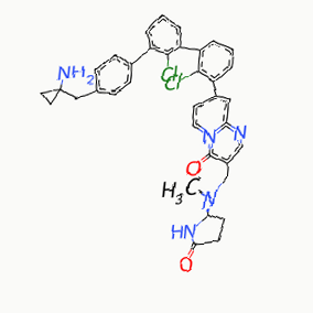 CN(Cc1cnc2cc(-c3cccc(-c4cccc(-c5ccc(CC6(N)CC6)cc5)c4Cl)c3Cl)ccn2c1=O)[C@H]1CCC(=O)N1